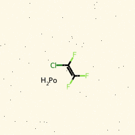 FC(F)=C(F)Cl.[PoH2]